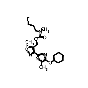 Cc1nc(-c2nnn(C)c2COC(=O)N(C)CCCF)cnc1OC1CCCCC1